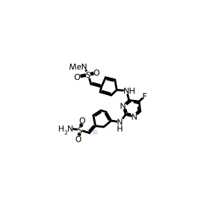 CNS(=O)(=O)C=C1C=CC(Nc2nc(NC3=CC=C/C(=C\S(N)(=O)=O)C3)ncc2F)C=C1